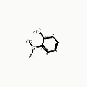 [CH2]CCc1ccccc1[S+]([O-])CC